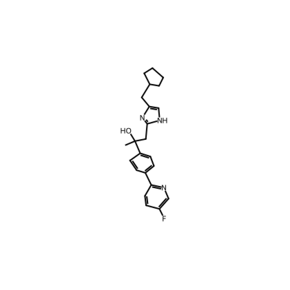 CC(O)(Cc1nc(CC2CCCC2)c[nH]1)c1ccc(-c2ccc(F)cn2)cc1